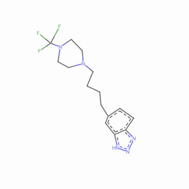 FC(F)(F)N1CCN(CCCCc2ccc3nn[nH]c3c2)CC1